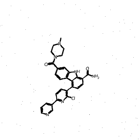 CN1CCN(C(=O)c2ccc3c(c2)[nH]c2c(C(N)=O)ccc(-c4ccc(-c5cccnc5)nc4Cl)c23)CC1